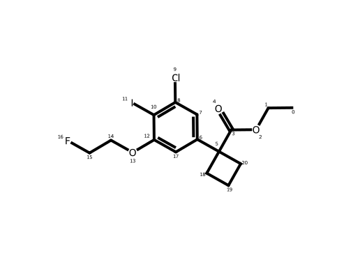 CCOC(=O)C1(c2cc(Cl)c(I)c(OCCF)c2)CCC1